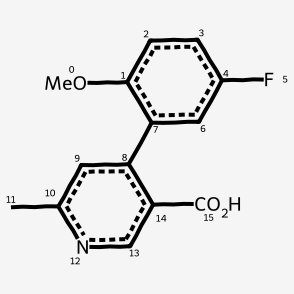 COc1ccc(F)cc1-c1cc(C)ncc1C(=O)O